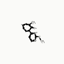 CSc1nccc(-c2ccccc(C)c2=O)n1